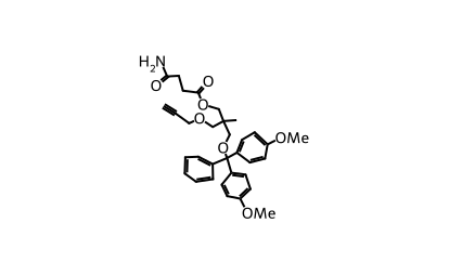 C#CCOCC(C)(COC(=O)CCC(N)=O)COC(c1ccccc1)(c1ccc(OC)cc1)c1ccc(OC)cc1